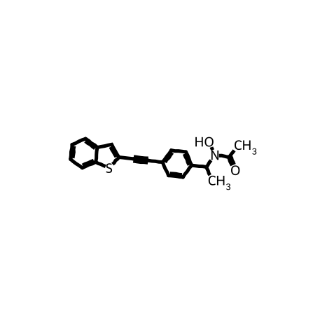 CC(=O)N(O)C(C)c1ccc(C#Cc2cc3ccccc3s2)cc1